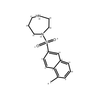 O=S(=O)(c1ccc2c(I)cccc2c1)N1CCCNCC1